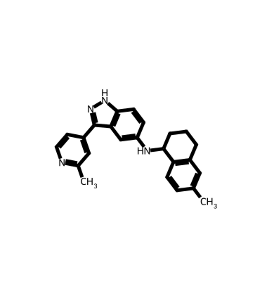 Cc1ccc2c(c1)CCCC2Nc1ccc2[nH]nc(-c3ccnc(C)c3)c2c1